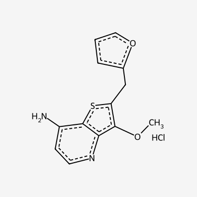 COc1c(Cc2ccco2)sc2c(N)ccnc12.Cl